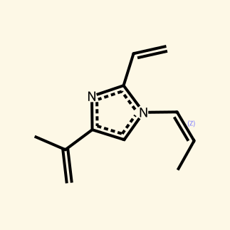 C=Cc1nc(C(=C)C)cn1/C=C\C